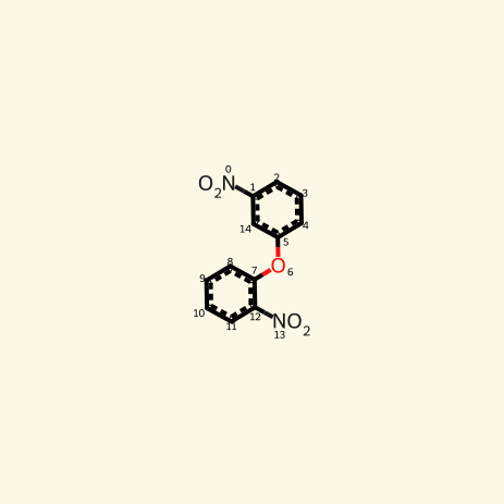 O=[N+]([O-])c1cccc(Oc2ccccc2[N+](=O)[O-])c1